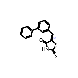 O=C1NC(=S)S/C1=C/c1cccc(-c2ccccc2)c1